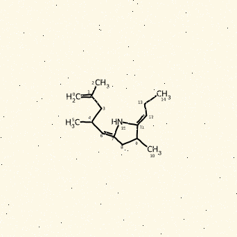 C=C(C)CC(C)/C=C1/CC(C)/C(=C/CC)N1